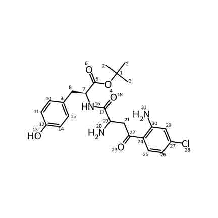 CC(C)(C)OC(=O)[C@H](Cc1ccc(O)cc1)NC(=O)C(N)CC(=O)c1ccc(Cl)cc1N